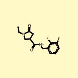 CCN1CC(C(=O)NCc2cccc(F)c2F)CC1=O